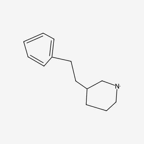 c1ccc(CCC2CCC[N]C2)cc1